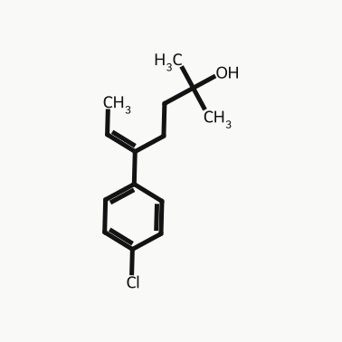 CC=C(CCC(C)(C)O)c1ccc(Cl)cc1